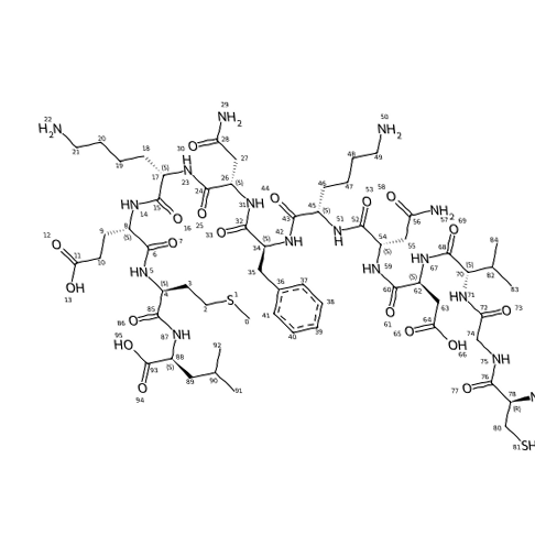 CSCC[C@H](NC(=O)[C@H](CCC(=O)O)NC(=O)[C@H](CCCCN)NC(=O)[C@H](CC(N)=O)NC(=O)[C@H](Cc1ccccc1)NC(=O)[C@H](CCCCN)NC(=O)[C@H](CC(N)=O)NC(=O)[C@H](CC(=O)O)NC(=O)[C@@H](NC(=O)CNC(=O)[C@@H](N)CS)C(C)C)C(=O)N[C@@H](CC(C)C)C(=O)O